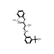 CC(C)(O)c1cccc(CNC[C@@H](O)[C@H](Cc2ccccc2)NC(=O)O)c1